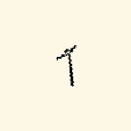 CCCCCCCCCCCCCCCC1N(CCCC)C=CN1CCCCC